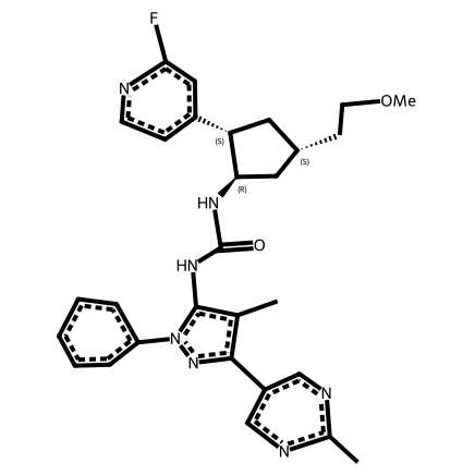 COCC[C@@H]1C[C@@H](NC(=O)Nc2c(C)c(-c3cnc(C)nc3)nn2-c2ccccc2)[C@H](c2ccnc(F)c2)C1